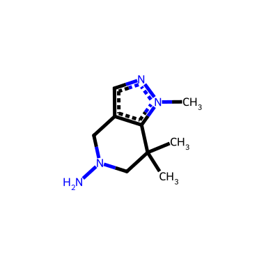 Cn1ncc2c1C(C)(C)CN(N)C2